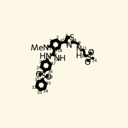 CNc1ccc(-c2csc(CNCCS(C)(=O)=O)n2)cc1C(=N)Nc1ccc(S(=O)(=O)c2ccccc2)cc1